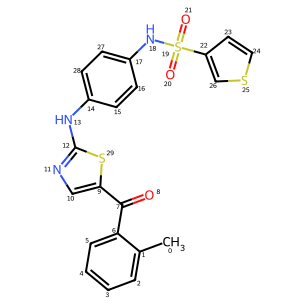 Cc1ccccc1C(=O)c1cnc(Nc2ccc(NS(=O)(=O)c3ccsc3)cc2)s1